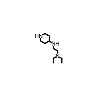 CCN(CC)CCNC1CCNCC1